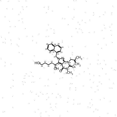 C=C(C)Cn1c(=O)n(C)c(=O)c2c(C(O)CCCCO)n(Cc3cccc4ccccc34)nc21